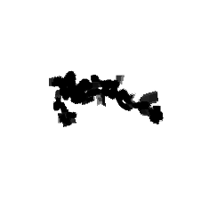 COc1cc(F)c(C2CCN(C(=O)OC(C)(C)C)CC2)cc1Nc1ncc(-c2ccc(C#N)c(OC(C)Cn3cnnn3)c2)cn1